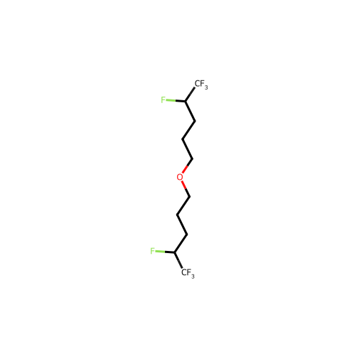 FC(CCCOCCCC(F)C(F)(F)F)C(F)(F)F